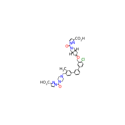 Cc1cc(-c2cccc(-c3ccc(Cl)c(CO[C@H]4C[C@@H]5CN(C(=O)n6ccc(C(=O)O)n6)C[C@@H]5C4)c3)c2)ccc1CN1CCN(C(=O)n2ccc(C(=O)O)n2)CC1